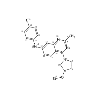 CCOC1CCN(c2nc(C)nc3cc(Nc4ccc(F)cc4)ccc23)C1